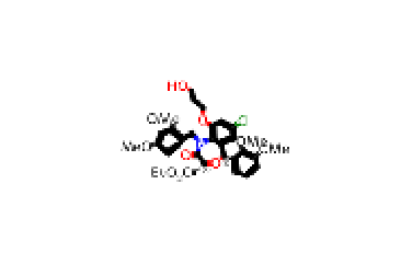 CCOC(=O)C[C@H]1O[C@H](c2cccc(OC)c2OC)c2cc(Cl)cc(OCCCO)c2N(Cc2ccc(OC)cc2OC)C1=O